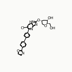 OC[C@H]1OC[C@H](Oc2nc3nc(-c4ccc(-c5ccc(-c6ncco6)cc5)cc4)c(Cl)cc3[nH]2)C[C@@H]1O